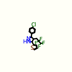 FC(F)C(F)(F)CC1C(c2ccc(Cl)cc2)=NNC1c1cccs1